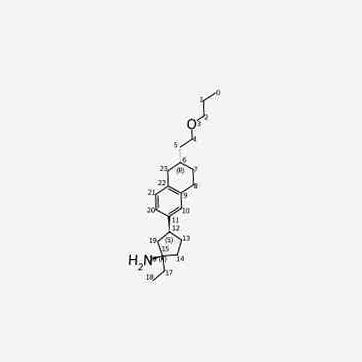 CCCOCC[C@@H]1CCc2cc([C@H]3CC[C@](N)(CC)C3)ccc2C1